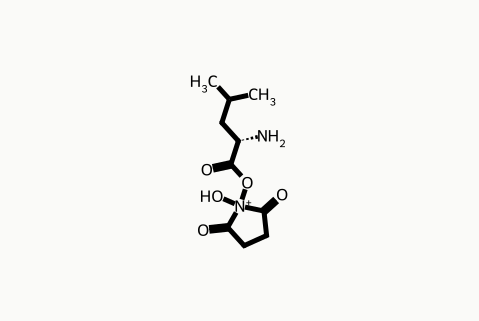 CC(C)C[C@H](N)C(=O)O[N+]1(O)C(=O)CCC1=O